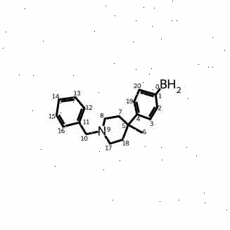 Bc1ccc(C2(C)CCN(Cc3ccccc3)CC2)cc1